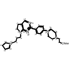 COCCN1CCN(c2ccc(-c3ncc4c(n3)N(CCCN3CCCC3)CC4)cc2)CC1